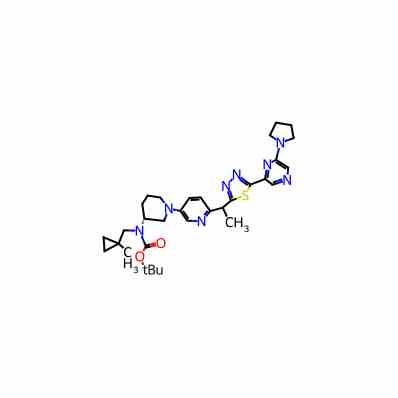 CC(c1ccc(N2CCC[C@@H](N(CC3(C)CC3)C(=O)OC(C)(C)C)C2)cn1)c1nnc(-c2cncc(N3CCCC3)n2)s1